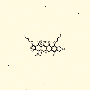 CCCCOc1noc2c1C(=O)[C@@]1(O)C(O)=C3C(=O)c4c(c(F)c5c(c4OCCCC)CNC5)C[C@H]3C[C@H]1[C@@H]2N(C)C